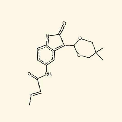 CC=CC(=O)Nc1ccc2c(c1)=C(C1OCC(C)(C)CO1)C(=O)N=2